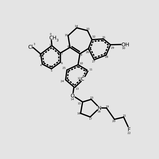 Cc1c(Cl)cccc1C1=C(c2ccc(OC3CCN(CCCF)C3)cc2)c2ccc(O)cc2CCC1